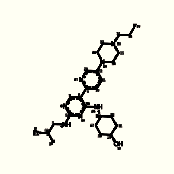 CC[C@H](F)CNc1ncc(-c2ccc(N3CCN(CCF)CC3)cn2)c(N[C@H]2CC[C@H](O)CC2)n1